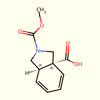 COC(=O)N1C[C@@H]2C=CC=C[C@]2(C(=O)O)C1